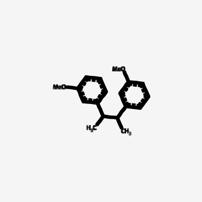 COc1cccc(C(C)C(C)c2cccc(OC)c2)c1